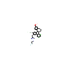 Cc1cc(C2=C(c3ccc(Cl)cc3Cl)CCCc3cc(C(=O)O)ccc32)ccc1CC1CN(CCCF)C1.Cl